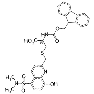 CN(C)S(=O)(=O)c1ccc(O)c2nc(CSC[C@H](NC(=O)OCC3c4ccccc4-c4ccccc43)C(=O)O)ccc12